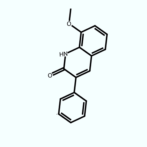 COc1cccc2cc(-c3c[c]ccc3)c(=O)[nH]c12